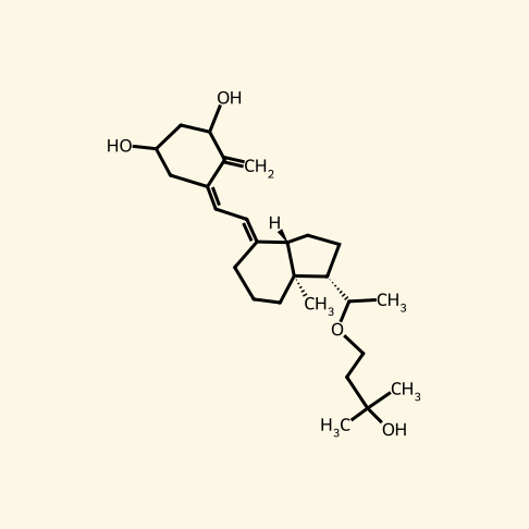 C=C1/C(=C\C=C2/CCC[C@]3(C)[C@@H](C(C)OCCC(C)(C)O)CC[C@@H]23)CC(O)CC1O